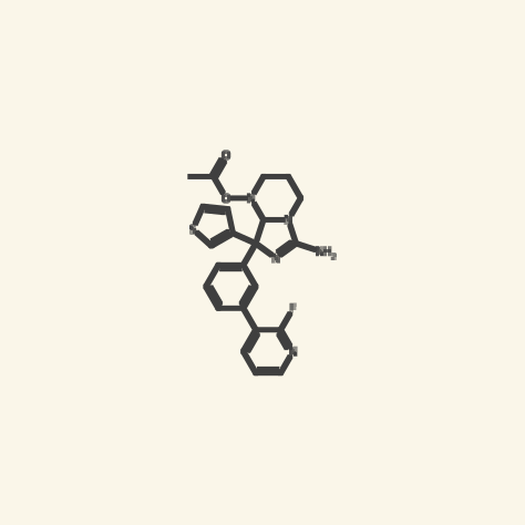 CC(=O)ON1CCCN2C(N)=NC(c3ccsc3)(c3cccc(-c4cccnc4F)c3)C12